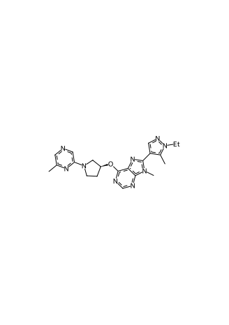 CCn1ncc(-c2nc3c(O[C@H]4CCN(c5cncc(C)n5)C4)ncnc3n2C)c1C